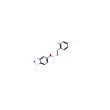 CC(=O)c1cc(O)ccc1C[C@H](NC(=O)c1ccc2[nH]cnc2c1)C(=O)O